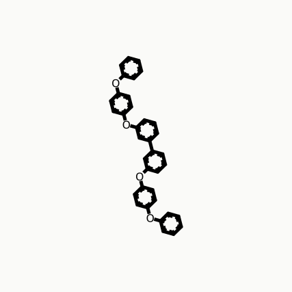 c1ccc(Oc2ccc(Oc3cccc(-c4cccc(Oc5ccc(Oc6ccccc6)cc5)c4)c3)cc2)cc1